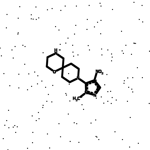 Cn1ncc([N+](=O)[O-])c1N1CCC2(CC1)CNCCO2